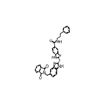 O=C(NCCCc1ccccc1)c1ccc2[nH]c(Cc3nc4cc(CN5C(=O)c6ccccc6C5=O)ccc4[nH]3)nc2c1